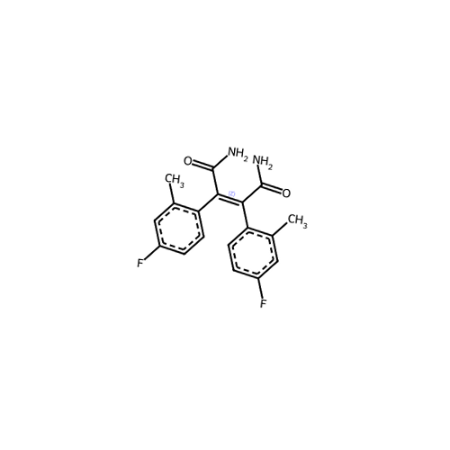 Cc1cc(F)ccc1/C(C(N)=O)=C(/C(N)=O)c1ccc(F)cc1C